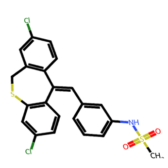 CS(=O)(=O)Nc1cccc(C=C2c3ccc(Cl)cc3CSc3cc(Cl)ccc32)c1